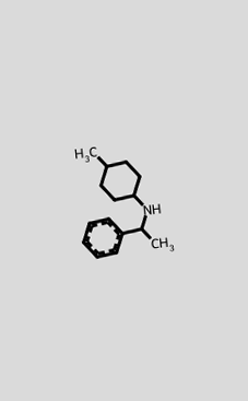 CC1CCC(NC(C)c2ccccc2)CC1